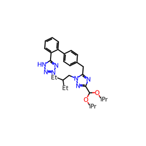 CCC(CC)Cn1nc(C(OC(C)C)OC(C)C)nc1Cc1ccc(-c2ccccc2-c2nnn[nH]2)cc1